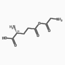 NCC(=O)OC(=O)CC[C@@H](N)C(=O)O